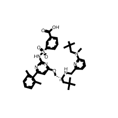 Cc1cccc(C)c1-c1cc(OC[C@@H](CC(C)(C)C)NCc2cccc(N(C)CC(C)(C)C)n2)nc(NS(=O)(=O)c2cccc(C(=O)O)c2)n1